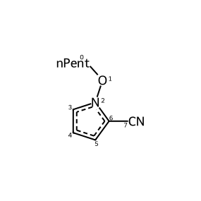 CCCCCOn1cccc1C#N